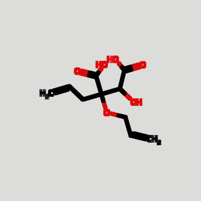 C=CCOC(CC=C)(C(=O)O)C(O)C(=O)O